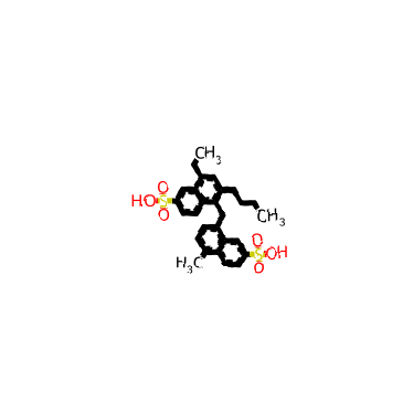 CCCCc1cc(CC)c2cc(S(=O)(=O)O)ccc2c1Cc1ccc(C)c2ccc(S(=O)(=O)O)cc12